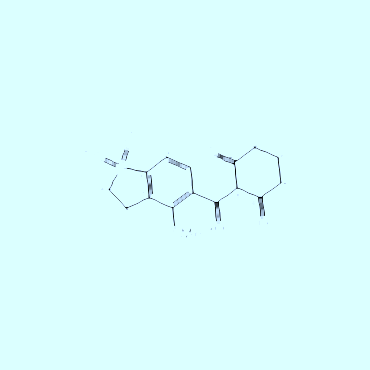 CSc1c(C(=O)C2C(=O)CCCC2=O)ccc2c1CCS2(=O)=O